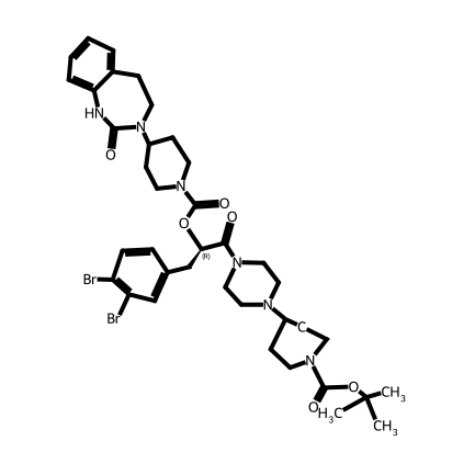 CC(C)(C)OC(=O)N1CCC(N2CCN(C(=O)[C@@H](Cc3ccc(Br)c(Br)c3)OC(=O)N3CCC(N4CCc5ccccc5NC4=O)CC3)CC2)CC1